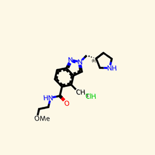 COCCNC(=O)c1ccc2nn(C[C@@H]3CCNC3)cc2c1C.Cl